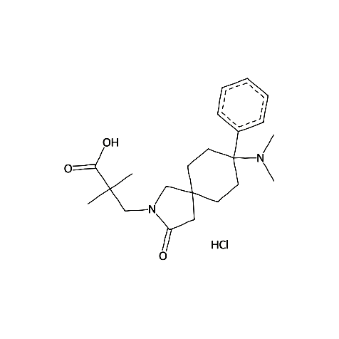 CN(C)C1(c2ccccc2)CCC2(CC1)CC(=O)N(CC(C)(C)C(=O)O)C2.Cl